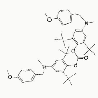 COc1ccc(CN(C)c2cc(C(C)(C)C)c(OC(=O)Oc3c(C(C)(C)C)cc(N(C)Cc4ccc(OC)cc4)cc3C(C)(C)C)c(C(C)(C)C)c2)cc1